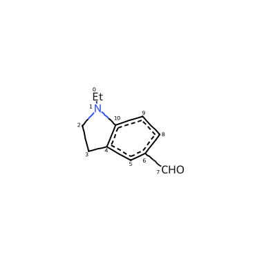 CCN1CCc2cc(C=O)ccc21